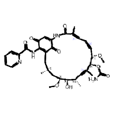 CO[C@H]1/C=C\C=C(/C)C(=O)NC2=CC(=O)C(NC(=O)c3ccccn3)=C(C[C@@H](C)C[C@H](OC)[C@H](O)[C@@H](C)/C=C(\C)[C@@H]1OC(N)=O)C2=O